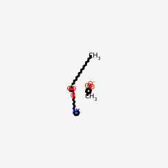 CCCCCCCCCCCCCCCCC[C@H]1OC[C@H](COCCCCCC[n+]2ccccc2)O1.Cc1ccc(S(=O)(=O)[O-])cc1